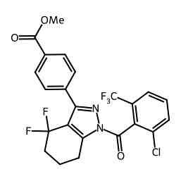 COC(=O)c1ccc(-c2nn(C(=O)c3c(Cl)cccc3C(F)(F)F)c3c2C(F)(F)CCC3)cc1